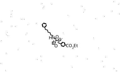 CCOC(=O)c1ccc(C[S+]([O-])C(C(=O)NCCCCCCc2ccccc2)N2CCC2=O)cc1